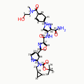 CN(CCO)C(=O)c1ccc(-n2cc(NC(=O)c3coc(-c4ccnc(N(CC5CC5)C(=O)OC(C)(C)C)c4)n3)c(C(N)=O)n2)cc1